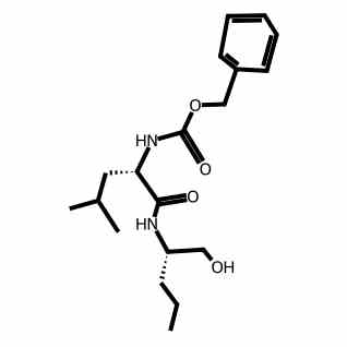 CCC[C@@H](CO)NC(=O)[C@H](CC(C)C)NC(=O)OCc1ccccc1